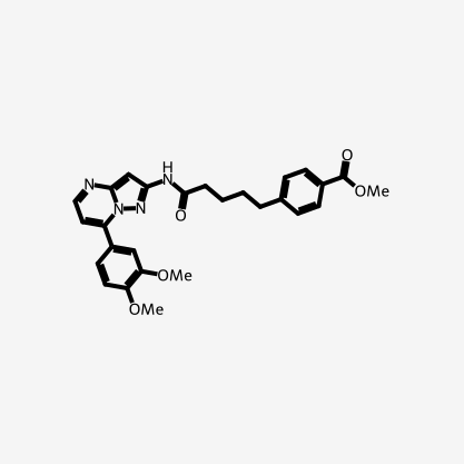 COC(=O)c1ccc(CCCCC(=O)Nc2cc3nccc(-c4ccc(OC)c(OC)c4)n3n2)cc1